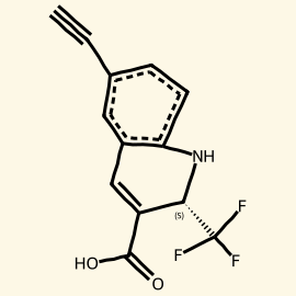 C#Cc1ccc2c(c1)C=C(C(=O)O)[C@@H](C(F)(F)F)N2